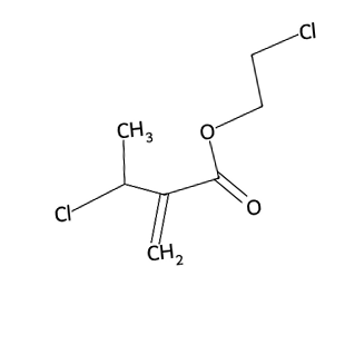 C=C(C(=O)OCCCl)C(C)Cl